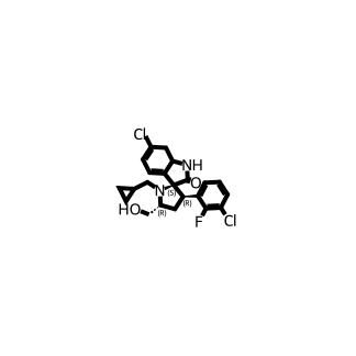 O=C1NC2CC(Cl)=CC=C2[C@@]12[C@@H](c1cccc(Cl)c1F)C[C@H](CO)N2CC1CC1